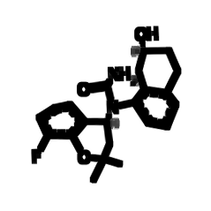 CC1(C)C[C@@H](N(C(N)=O)c2cccc3c2C[C@H](O)CC3)c2cccc(F)c2O1